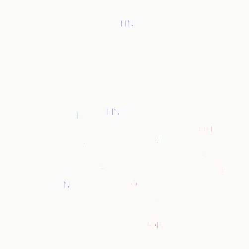 FC(F)(CNc1c(Cl)ccc2c1CCNCC2)c1ccccn1.O=C(O)CCC(=O)O